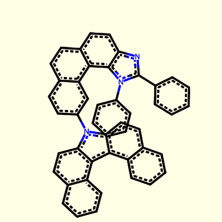 c1ccc(-c2nc3ccc4ccc5ccc(-n6c7ccc8ccccc8c7c7c8ccccc8ccc76)cc5c4c3n2-c2ccccc2)cc1